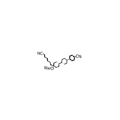 CO[C@]1(CCC=CC=CC#N)CC[C@H]([C@H]2CC[C@H](c3ccc(C#N)cc3)CC2)CC1